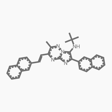 Cc1nn2c(NC(C)(C)C)c(-c3ccc4ccccc4c3)nc2nc1/C=C/c1ccc2ccccc2c1